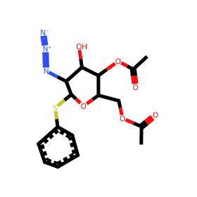 CC(=O)OCC1OC(Sc2ccccc2)C(N=[N+]=[N-])C(O)C1OC(C)=O